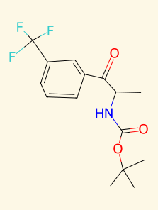 CC(NC(=O)OC(C)(C)C)C(=O)c1cccc(C(F)(F)F)c1